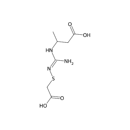 CC(CC(=O)O)N/C(N)=N/SCC(=O)O